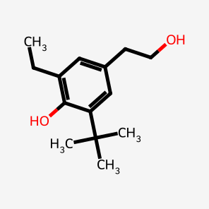 CCc1cc(CCO)cc(C(C)(C)C)c1O